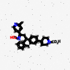 Cc1cc(/C(CC(c2ccc(C3=CCN(C(=O)O)CC3)cc2)c2ccccc2C)=N\O)ccn1